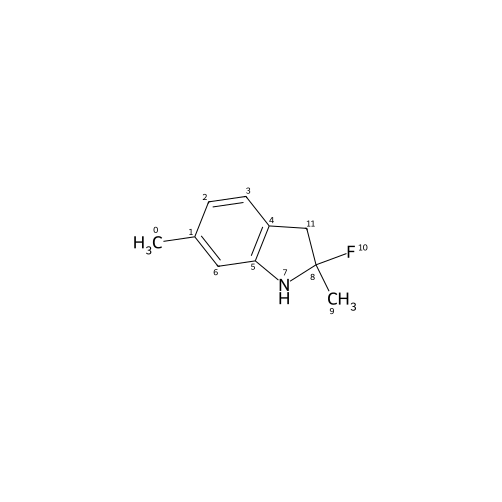 Cc1ccc2c(c1)NC(C)(F)C2